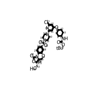 CC(C)(C)OC(=O)NC1CCC(Oc2cc(Cl)nc(N3CCN(S(=O)(=O)c4ccc5c(c4)OC[C@H]4[C@H](CO)OC(=O)N54)CC3)c2)CC1